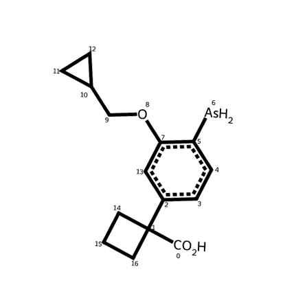 O=C(O)C1(c2ccc([AsH2])c(OCC3CC3)c2)CCC1